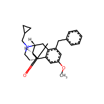 COc1cc(Cc2ccccc2)c2c(c1)[C@]13CCN(CC4CC4)[C@H](C2)[C@@H]1CCC(=O)C3